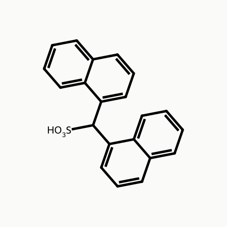 O=S(=O)(O)C(c1cccc2ccccc12)c1cccc2ccccc12